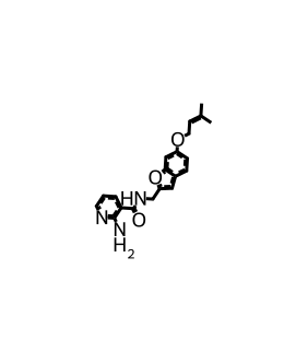 CC(C)=CCOc1ccc2cc(CNC(=O)c3cccnc3N)oc2c1